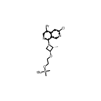 CC(C)c1cnc(N2C[C@H](OCCO[Si](C)(C)C(C)(C)C)[C@H]2C)c2cnc(Cl)cc12